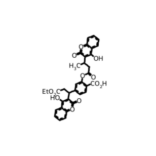 CCOC(=O)CC(c1ccc(C(=O)O)c(OC(=O)CC(C)c2c(O)c3ccccc3oc2=O)c1)c1c(O)c2ccccc2oc1=O